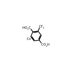 O=C(O)c1ccc(C(=O)O)c(C(F)(F)F)c1.[Co]